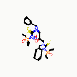 CCP(=O)(CC)NC(=S)N(Cc1ccccc1)CC(O)CN(Cc1ccccc1)C(=S)NP(=O)(CC)CC